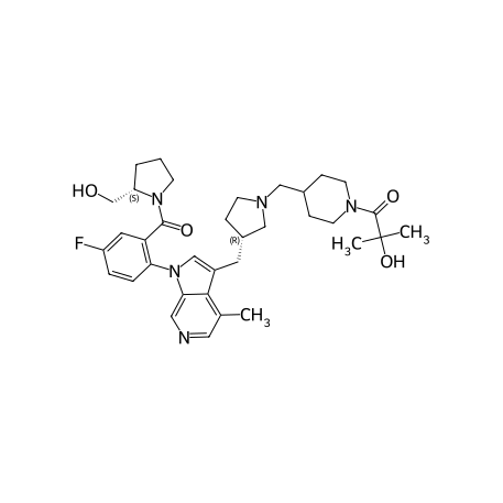 Cc1cncc2c1c(C[C@@H]1CCN(CC3CCN(C(=O)C(C)(C)O)CC3)C1)cn2-c1ccc(F)cc1C(=O)N1CCC[C@H]1CO